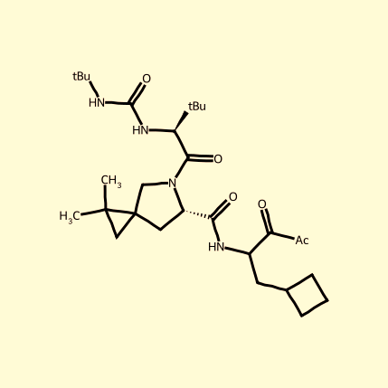 CC(=O)C(=O)C(CC1CCC1)NC(=O)[C@@H]1CC2(CN1C(=O)[C@@H](NC(=O)NC(C)(C)C)C(C)(C)C)CC2(C)C